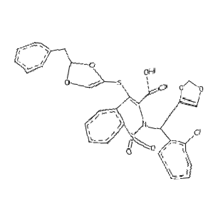 O=C(O)C1=C(SC2=COC(Cc3ccccc3)O2)c2ccccc2S(=O)(=O)N1C(C1=COCO1)c1ccccc1Cl